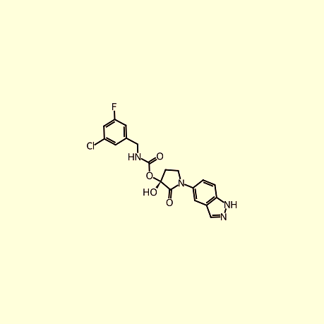 O=C(NCc1cc(F)cc(Cl)c1)O[C@]1(O)CCN(c2ccc3[nH]ncc3c2)C1=O